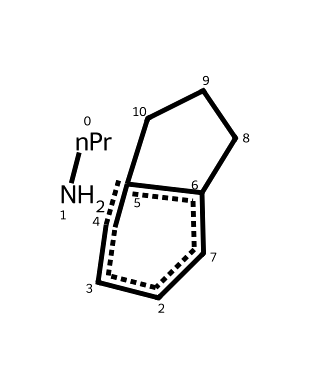 CCCN.c1ccc2c(c1)CCC2